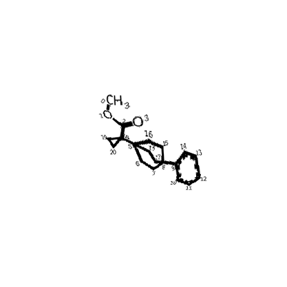 COC(=O)C1(C23CCC(c4ccccc4)(CC2)CC3)CC1